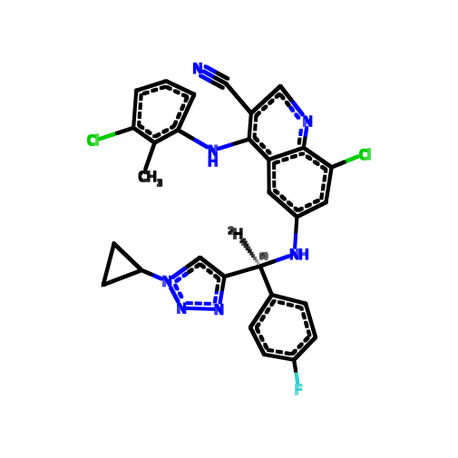 [2H][C@](Nc1cc(Cl)c2ncc(C#N)c(Nc3cccc(Cl)c3C)c2c1)(c1ccc(F)cc1)c1cn(C2CC2)nn1